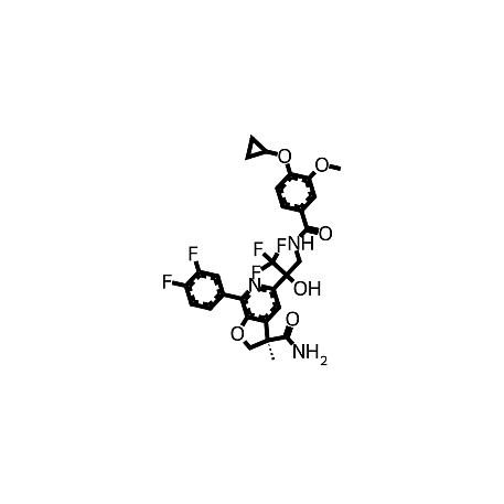 COc1cc(C(=O)NCC(O)(c2cc3c(c(-c4ccc(F)c(F)c4)n2)OC[C@]3(C)C(N)=O)C(F)(F)F)ccc1OC1CC1